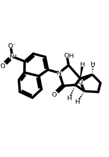 O=C1[C@H]2[C@H](C(O)N1c1ccc([N+](=O)[O-])c3ccccc13)[C@H]1CC[C@@H]2O1